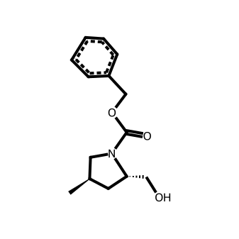 C[C@@H]1C[C@@H](CO)N(C(=O)OCc2ccccc2)C1